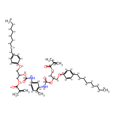 C=C(C)C(=O)OCC(COc1ccc(CCCCCCCCC)cc1)OC(=O)Nc1ccc(C)c(NC(=O)OC(COC(=O)C(=C)C)COc2ccc(CCCCCCCCC)cc2)c1